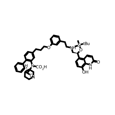 CC(C)(C)[Si](C)(C)O[C@H](CNCCc1cccc(OCCCc2ccc(-c3ccccc3)c(N(C(=O)O)[C@H]3CN4CCC3CC4)c2)c1)c1ccc(O)c2[nH]c(=O)ccc12